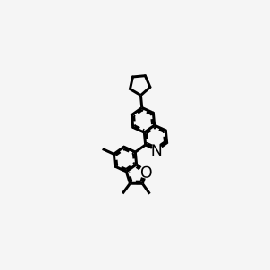 Cc1cc(-c2nccc3cc(C4CCCC4)ccc23)c2oc(C)c(C)c2c1